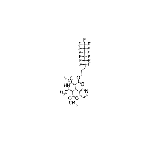 COC(=O)C1=C(C)NC(C)=C(C(=O)OCCCC(F)(F)C(F)(F)C(F)(F)C(F)(F)C(F)(F)C(F)(F)F)C1c1cccnc1